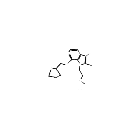 COCCn1c(C)c(C)c2ccnc(OCC3CCCO3)c21.Cl